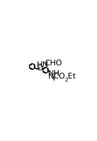 CCOC(=O)/C(C)=N\Nc1ccc(OCc2ccccc2)c(NC=O)c1